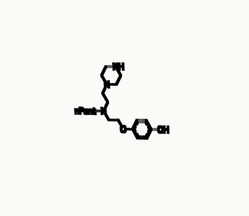 CCCCCN(CCOc1ccc(O)cc1)CCN1CCNCC1